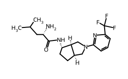 CC(C)C[C@H](N)C(=O)N[C@H]1CC[C@@H]2CN(c3cccc(C(F)(F)F)n3)C[C@@H]21